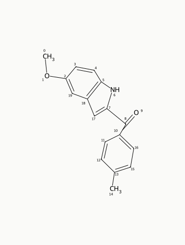 COc1ccc2[nH]c(C(=O)c3ccc(C)cc3)cc2c1